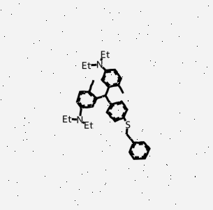 CCN(CC)c1ccc(C)c(C(c2ccc(SCc3ccccc3)cc2)c2cc(N(CC)CC)ccc2C)c1